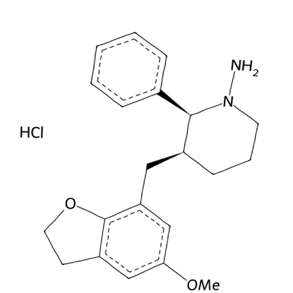 COc1cc2c(c(C[C@@H]3CCCN(N)[C@@H]3c3ccccc3)c1)OCC2.Cl